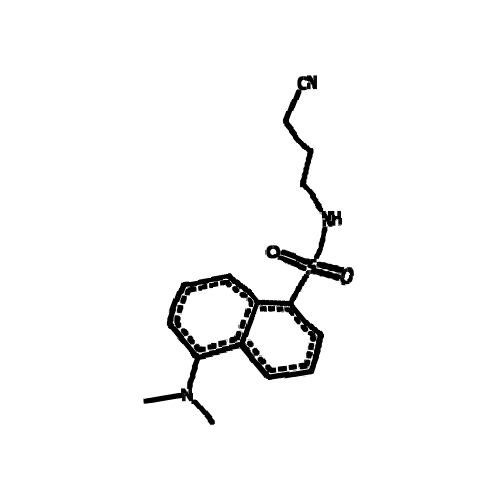 CN(C)c1cccc2c(S(=O)(=O)NCCCC#N)cccc12